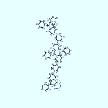 CC12CCCCC1(C)N(c1ccccc1)c1ccc(-c3ccc(-c4ccc5c(-c6ccccc6)c6cc(-c7cccc(-c8ccc9c(c8)C8(C)CCCCC8(C)N9c8ccccc8)n7)ccc6c(-c6ccccc6)c5c4)cn3)cc12